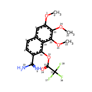 COc1cc2ccc(C(=N)N)c(OC(=O)C(F)(F)F)c2c(OC)c1OC